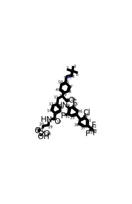 CC(C)(C)/C=C/c1ccc(C(Cc2ccc(C(=O)NCCS(=O)(=O)O)cc2)C(=O)Nc2c(F)cc(-c3ccc(C(F)(F)F)cc3Cl)cc2F)cc1